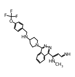 CN/C(=C\C=N)c1nnc(N2CCC(NCc3ccc(OC(F)(F)F)cc3)CC2)c2ccccc12